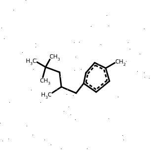 [CH2]c1ccc(CC(C)CC(C)(C)C)cc1